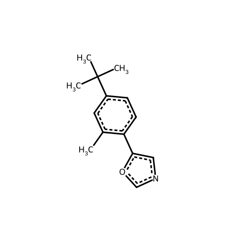 Cc1cc(C(C)(C)C)ccc1-c1cnco1